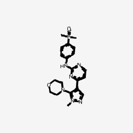 Cn1ncc(-c2ccnc(Nc3ccc(P(C)(C)=O)cc3)n2)c1N1CCOCC1